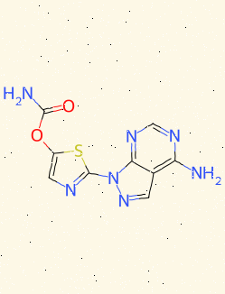 NC(=O)Oc1cnc(-n2ncc3c(N)ncnc32)s1